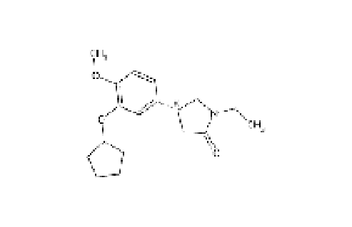 CCN1C[C@@H](c2ccc(OC)c(OC3CCCC3)c2)CC1=O